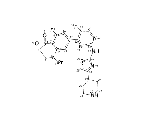 CC(C)N1CCS(=O)(=O)c2c(F)cc(-c3nc(Nc4nc(C5CCNCC5)cs4)ncc3F)cc21